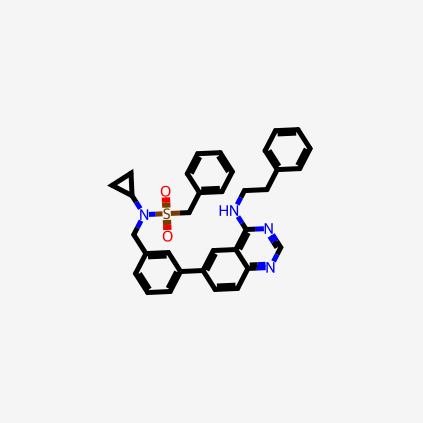 O=S(=O)(Cc1ccccc1)N(Cc1cccc(-c2ccc3ncnc(NCCc4ccccc4)c3c2)c1)C1CC1